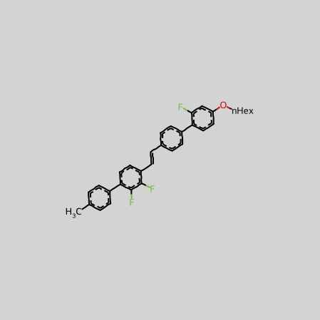 CCCCCCOc1ccc(-c2ccc(/C=C/c3ccc(-c4ccc(C)cc4)c(F)c3F)cc2)c(F)c1